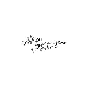 COC(=O)OC1COc2cc(CC(C)NCC(O)c3cccc(C(F)(F)F)c3)ccc2O1